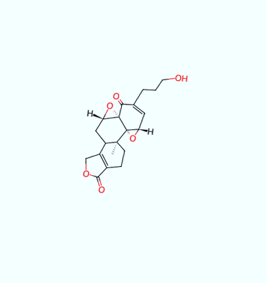 C[C@]12CCC3=C(COC3=O)C1C[C@@H]1O[C@@]13C(=O)C(CCCO)=C[C@@H]1O[C@]123